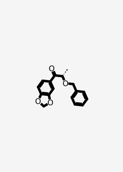 C[C@H](OCc1ccccc1)C(=O)c1ccc2c(c1)OCO2